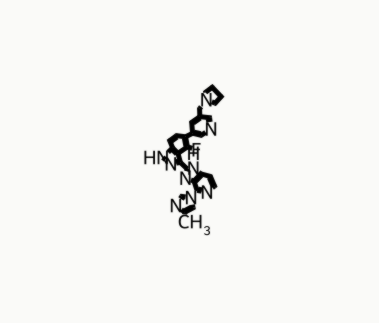 Cc1cn(-c2nccc3[nH]c(-c4n[nH]c5ccc(-c6cncc(CN7CCCC7)c6)c(F)c45)nc23)cn1